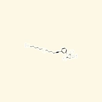 O=C1CNC(=O)N1c1cccc(C#CCCCCOCCCCCCBr)c1